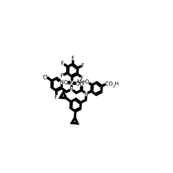 COc1cc(C(=O)O)ccc1N(Cc1cc(C2CC2)cc(C2CC2)c1)C(=O)CN(Cc1ncc(Cl)cc1F)S(=O)(=O)c1c(F)c(F)c(F)c(F)c1F